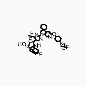 CC(F)(F)c1nc(N2CC3(CCCCC3)c3cc(O[C@H]4CC[C@H](N5CC(F)(F)C5)CC4)ncc32)ncc1C(=O)N[C@]1(C(=O)O)[C@@H]2CC3C[C@H]1C[C@@](F)(C3)C2